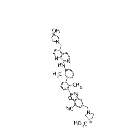 Cc1c(Nc2nccc3c(CN4CC[C@H](O)C4)ccnc23)cccc1-c1cccc(-c2nc3cc(CN4CC[C@H](C(=O)O)C4)cc(C#N)c3o2)c1C